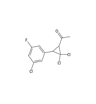 CC(=O)C1C(c2cc(F)cc(Cl)c2)C1(Cl)Cl